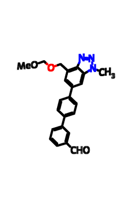 COCOCc1cc(-c2ccc(-c3cccc(C=O)c3)cc2)cc2c1nnn2C